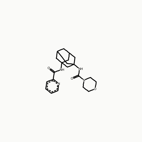 O=C(NC12CC3CC(C1)CC(NC(=O)N1CCOCC1)(C3)C2)c1ccccn1